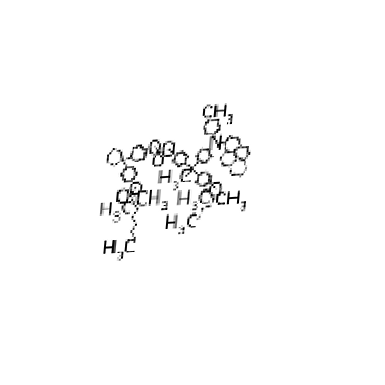 CCCCCCC(C)(C)C(=O)Oc1ccc(C2(c3ccc(OC(=O)Oc4ccc(C(C)(c5ccc(OC(C)(C)CCCC)cc5)c5ccc(N(c6ccc(C)cc6)c6ccc7ccc8c9c7c6CC=C9C=CC8)cc5)cc4)cc3)CCCCC2)cc1